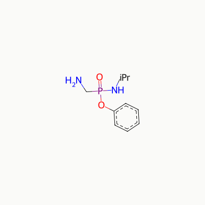 CC(C)NP(=O)(CN)Oc1ccccc1